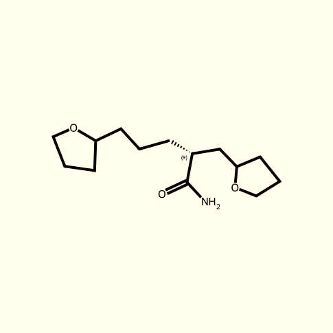 NC(=O)[C@H](CCCC1CCCO1)CC1CCCO1